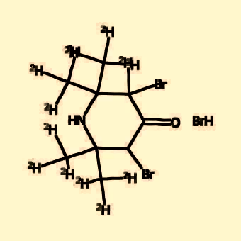 Br.[2H]C([2H])([2H])C1(C([2H])([2H])[2H])NC(C([2H])([2H])[2H])(C([2H])([2H])[2H])C([2H])(Br)C(=O)C1Br